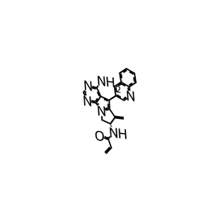 C=CC(=O)N[C@@H]1Cn2c(c(-c3cnc4ccccc4c3)c3c(N)ncnc32)C1=C